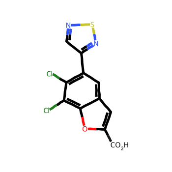 O=C(O)c1cc2cc(-c3cnsn3)c(Cl)c(Cl)c2o1